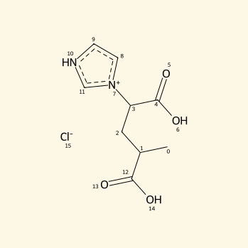 CC(CC(C(=O)O)[n+]1cc[nH]c1)C(=O)O.[Cl-]